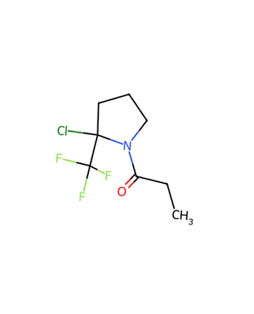 CCC(=O)N1CCCC1(Cl)C(F)(F)F